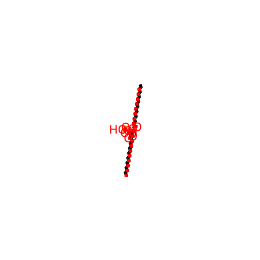 CCCCCCCCCCCC=CC=CC(=O)O[C@H](COC(=O)CCCCCCCCCCCCCCCCC)COP(=O)(O)O